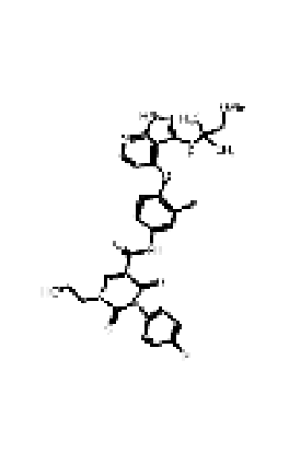 COCC(C)(C)Nc1n[nH]c2nccc(Oc3ccc(NC(=O)c4cn(CCO)c(=O)n(-c5ccc(F)cc5)c4=O)cc3F)c12